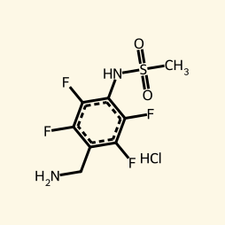 CS(=O)(=O)Nc1c(F)c(F)c(CN)c(F)c1F.Cl